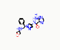 Nc1nccnc1C(=O)Nc1cnn(C(CNC2COC2)c2ccccc2)c1